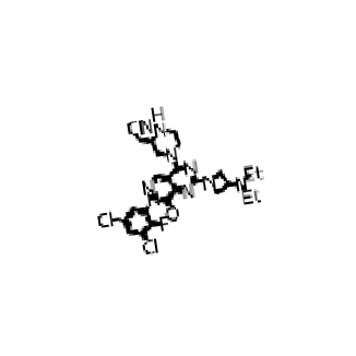 CCN(CC)C1CN(c2nc(N3CCNC(CC#N)C3)c3cnn(-c4cc(Cl)cc(Cl)c4F)c(=O)c3n2)C1